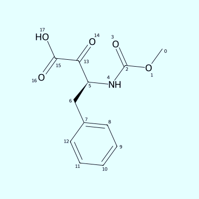 COC(=O)N[C@@H](Cc1ccccc1)C(=O)C(=O)O